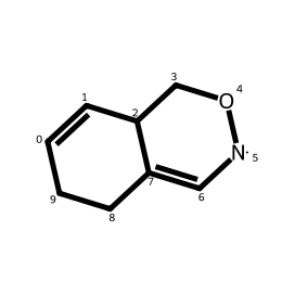 C1=CC2CO[N]C=C2CC1